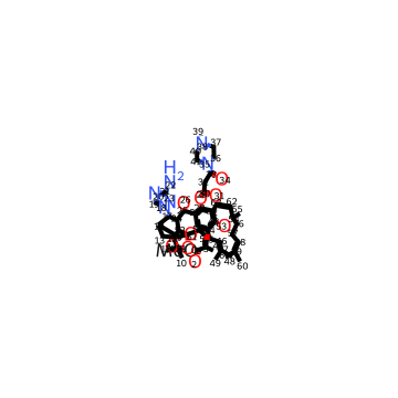 COC(=O)/C(C)=C\CC12OC(C)(C)C3CC(C1=O)C(n1cnc(N)n1)C1C(=O)c4c(OC(=O)CC(=O)N5CCN(C)CC5)c5c(c(CC=C(C)C)c4OC132)OC(C)(CCC=C(C)C)C=C5